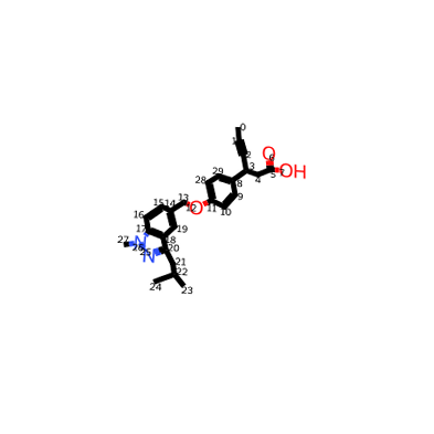 CC#CC(CC(=O)O)c1ccc(OCc2ccc3c(c2)c(CC(C)C)nn3C)cc1